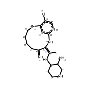 C/C(NC1CCNCC1N)=C1\Nc2ncc(Cl)c(n2)NCCCCC1=N